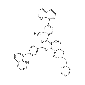 CC1CC(c2cccc3cccnc23)=CC=C1C1=NC(c2ccc(-c3cccc4cccnc34)cc2)=NC(C2=CC=C(Cc3ccccc3)CC2)N1C